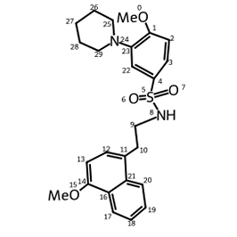 COc1ccc(S(=O)(=O)NCCc2ccc(OC)c3ccccc23)cc1N1CCCCC1